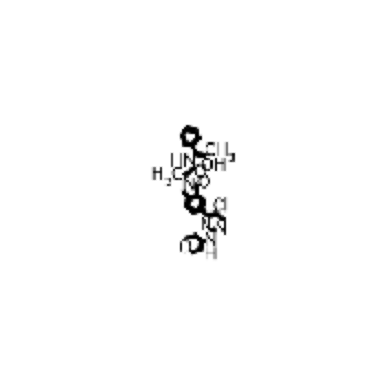 C[C@H](O)[C@@H](NC(=O)[C@@H](C)N1Cc2ccc(-c3nc(NC4CCOCC4)ncc3Cl)cc2C1=O)c1ccccc1